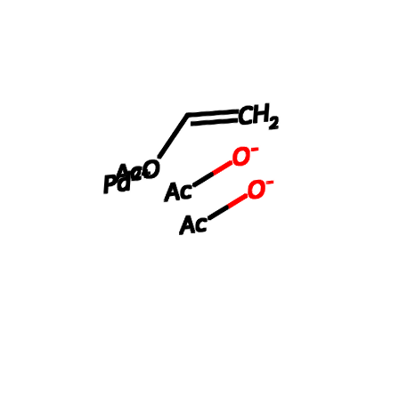 C=COC(C)=O.CC(=O)[O-].CC(=O)[O-].[Pd+2]